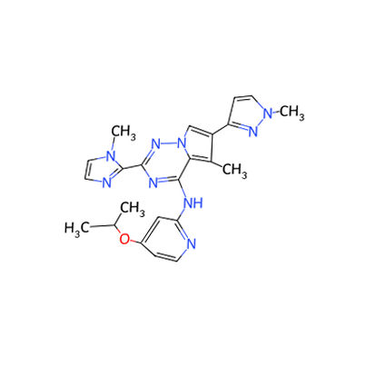 Cc1c(-c2ccn(C)n2)cn2nc(-c3nccn3C)nc(Nc3cc(OC(C)C)ccn3)c12